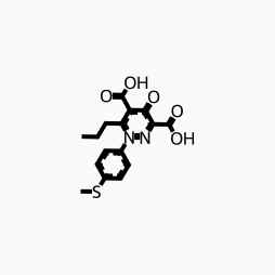 CCCc1c(C(=O)O)c(=O)c(C(=O)O)nn1-c1ccc(SC)cc1